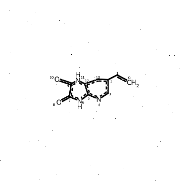 C=Cc1cnc2[nH]c(=O)c(=O)[nH]c2c1